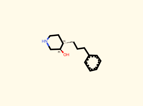 O[C@H]1CNCC[C@@H]1CCCc1ccccc1